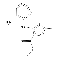 COC(=O)c1cc(C)sc1Nc1ccccc1N